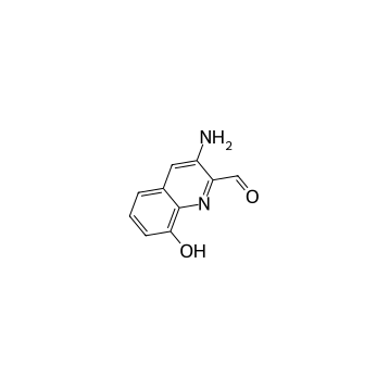 Nc1cc2cccc(O)c2nc1C=O